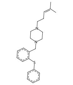 CC(C)=CCCN1CCN(Cc2ccccc2Sc2ccccc2)CC1